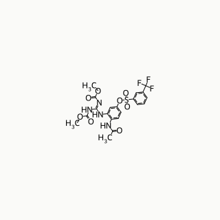 COC(=O)N=C(NC(=O)OC)Nc1cc(OS(=O)(=O)c2cccc(C(F)(F)F)c2)ccc1NC(C)=O